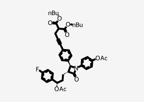 CCCCOC(=O)C(CC#Cc1ccc([C@@H]2[C@@H](CC[C@H](OC(C)=O)c3ccc(F)cc3)C(=O)N2c2ccc(OC(C)=O)cc2)cc1)C(=O)OCCCC